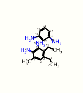 CCc1cc(C)c(N)c(N)c1CC.Nc1cccc(N)c1